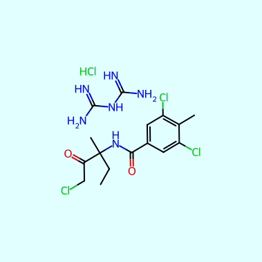 CCC(C)(NC(=O)c1cc(Cl)c(C)c(Cl)c1)C(=O)CCl.Cl.N=C(N)NC(=N)N